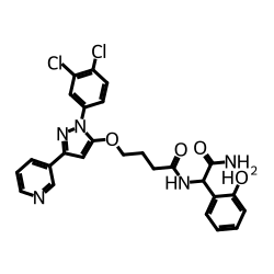 NC(=O)C(NC(=O)CCCOc1cc(-c2cccnc2)nn1-c1ccc(Cl)c(Cl)c1)c1ccccc1O